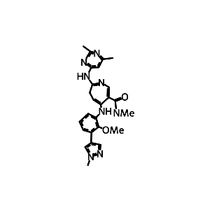 CNC(=O)C1=CN=C(Nc2cc(C)nc(C)n2)CC=C1Nc1cccc(-c2cnn(C)c2)c1OC